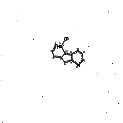 [O-][NH+]1C=CC=C2C=c3ncccc3=C21